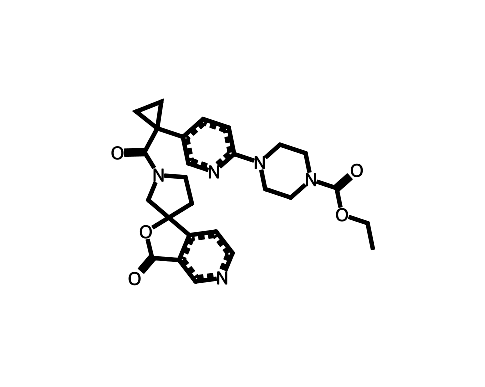 CCOC(=O)N1CCN(c2ccc(C3(C(=O)N4CCC5(C4)OC(=O)c4cnccc45)CC3)cn2)CC1